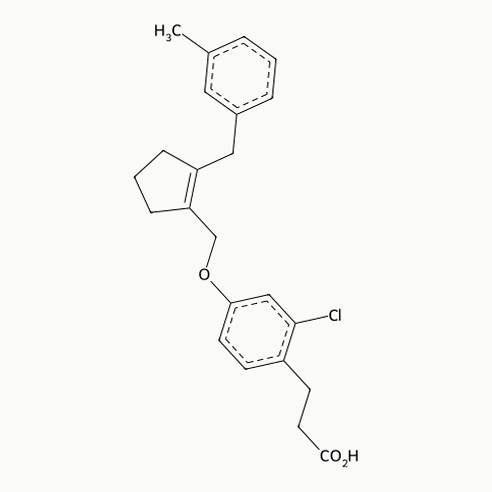 Cc1cccc(CC2=C(COc3ccc(CCC(=O)O)c(Cl)c3)CCC2)c1